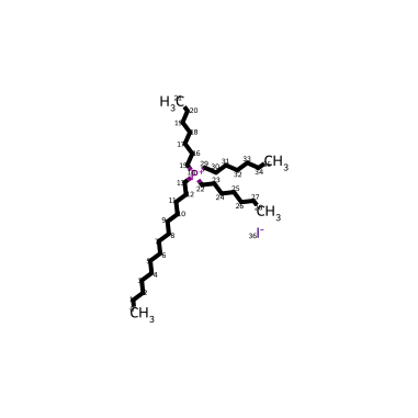 CCCCCCCCCCCCCC[P+](CCCCCCC)(CCCCCCC)CCCCCCC.[I-]